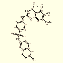 CCN1CCc2cc(NS(=O)(=O)c3ccc(NC(=O)NC(C)c4ccc(OC)c(Cl)c4Cl)cc3)ccc2C1